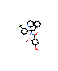 COc1ccc(C(=O)NC(Cc2ccccc2)(c2cccc(C(F)(F)F)c2)c2ccccn2)c(OC)c1